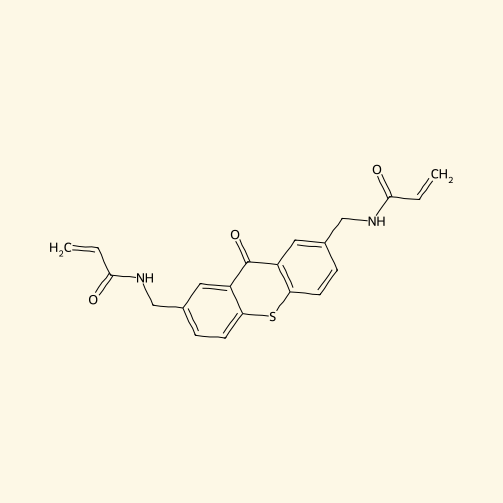 C=CC(=O)NCc1ccc2sc3ccc(CNC(=O)C=C)cc3c(=O)c2c1